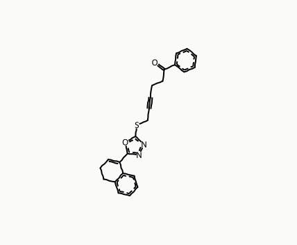 O=C(CCC#CCSc1nnc(C2=CCCc3ccccc32)o1)c1ccccc1